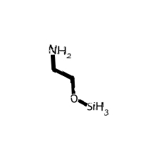 NCCO[SiH3]